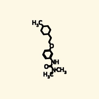 CC1CCC(CCOc2cccc(NC(=O)N(C)C)c2)CC1